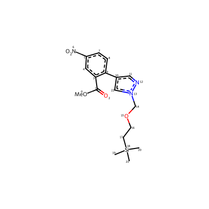 COC(=O)c1cc([N+](=O)[O-])ccc1-c1cnn(COCC[Si](C)(C)C)c1